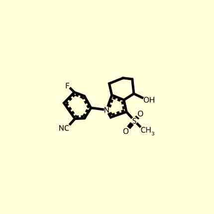 CS(=O)(=O)c1cn(-c2cc(F)cc(C#N)c2)c2c1C(O)CCC2